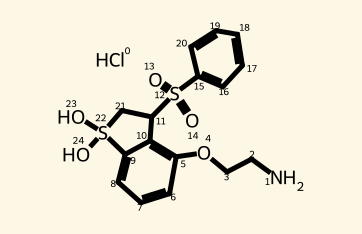 Cl.NCCOc1cccc2c1C(S(=O)(=O)c1ccccc1)CS2(O)O